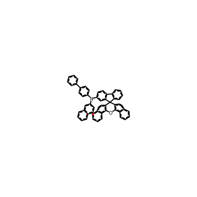 c1ccc(-c2ccc(N(c3ccc4c(c3)C3(c5ccccc5-4)c4ccc5ccccc5c4Oc4c3ccc3ccccc43)c3ccc4ccccc4c3)cc2)cc1